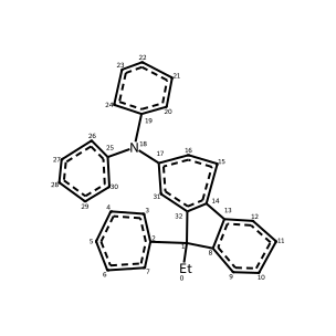 CCC1(c2ccccc2)c2ccccc2-c2ccc(N(c3ccccc3)c3ccccc3)cc21